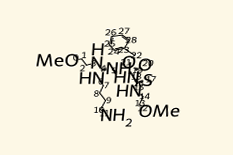 COCCNC(=N)NCCCCN.COCCNC(=S)NC(=O)OCc1ccccc1